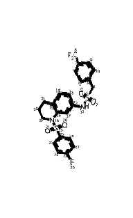 O=S(=O)(Cc1ccc(C(F)(F)F)cc1)Nc1ccc2c(c1)N(S(=O)(=O)c1ccc(F)cc1)CCC2